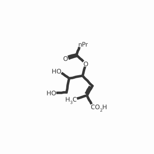 CCCC(=O)OC(C=C(C)C(=O)O)C(O)CO